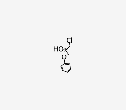 O[C@H](CCl)COc1ccccc1